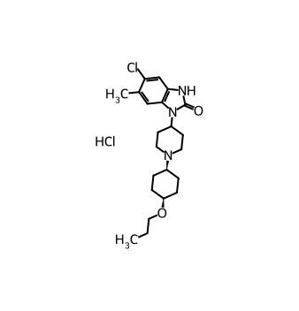 CCCO[C@H]1CC[C@@H](N2CCC(n3c(=O)[nH]c4cc(Cl)c(C)cc43)CC2)CC1.Cl